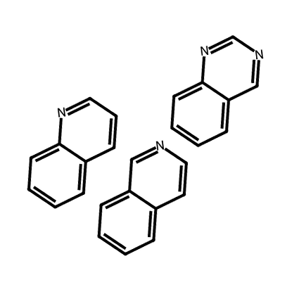 c1ccc2cnccc2c1.c1ccc2ncccc2c1.c1ccc2ncncc2c1